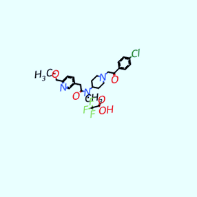 COCc1ccc(CC(=O)N(C)C2CCN(CC(=O)c3ccc(Cl)cc3)CC2)cn1.O=C(O)C(F)(F)F